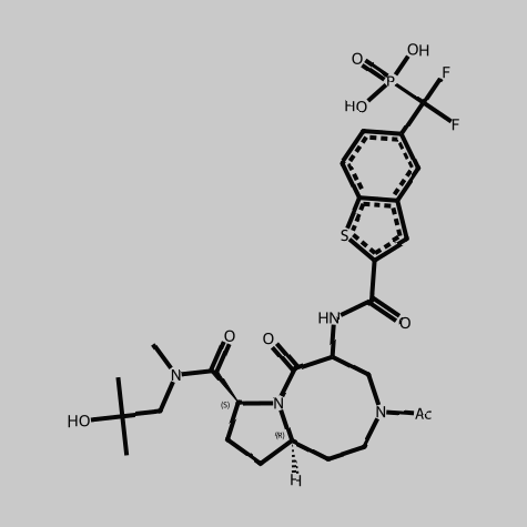 CC(=O)N1CC[C@H]2CC[C@@H](C(=O)N(C)CC(C)(C)O)N2C(=O)C(NC(=O)c2cc3cc(C(F)(F)P(=O)(O)O)ccc3s2)C1